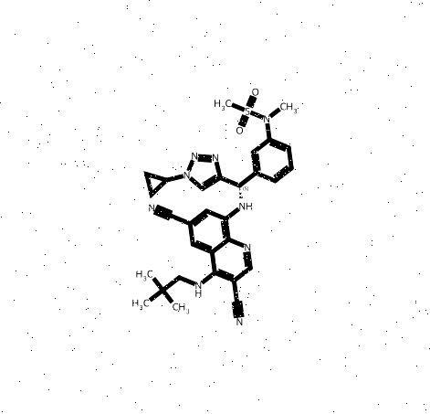 CN(c1cccc([C@H](Nc2cc(C#N)cc3c(NCC(C)(C)C)c(C#N)cnc23)c2cn(C3CC3)nn2)c1)S(C)(=O)=O